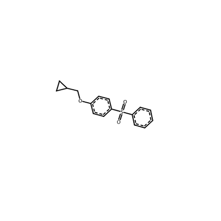 O=S(=O)(c1ccccc1)c1ccc(OCC2CC2)cc1